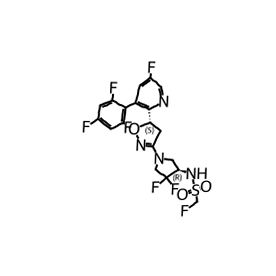 O=S(=O)(CF)N[C@@H]1CN(C2=NO[C@H](c3ncc(F)cc3-c3c(F)cc(F)cc3F)C2)CC1(F)F